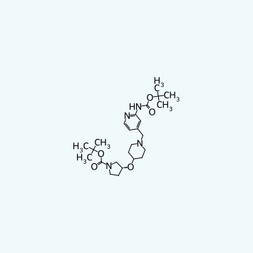 CC(C)(C)OC(=O)Nc1cc(CN2CCC(O[C@H]3CCN(C(=O)OC(C)(C)C)C3)CC2)ccn1